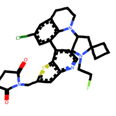 O=C1CCC(=O)N1Cc1cc2nccc(-c3cc(Cl)cc4c3N(C3CN(CCF)C5(CCC5)C3)CCC4)c2s1